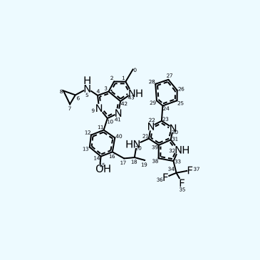 Cc1cc2c(NC3CC3)nc(-c3ccc(O)c(CC(C)Nc4nc(-c5ccccc5)nc5[nH]c(C(F)(F)F)cc45)c3)nc2[nH]1